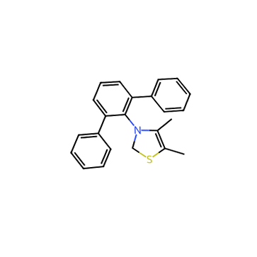 CC1=C(C)N(c2c(-c3ccccc3)cccc2-c2ccccc2)CS1